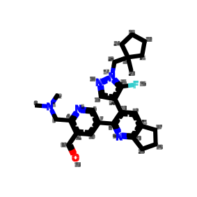 CN(C)Cc1ncc(-c2nc3c(cc2-c2cnn(CC4(C)CCCC4)c2F)CCC3)cc1C=O